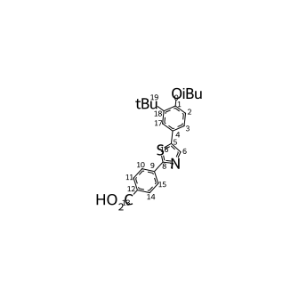 CC(C)COc1ccc(-c2cnc(-c3ccc(C(=O)O)cc3)s2)cc1C(C)(C)C